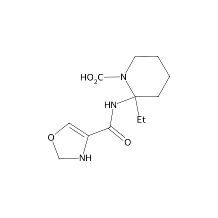 CCC1(NC(=O)C2=COCN2)CCCCN1C(=O)O